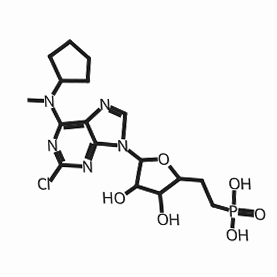 CN(c1nc(Cl)nc2c1ncn2C1OC(CCP(=O)(O)O)C(O)C1O)C1CCCC1